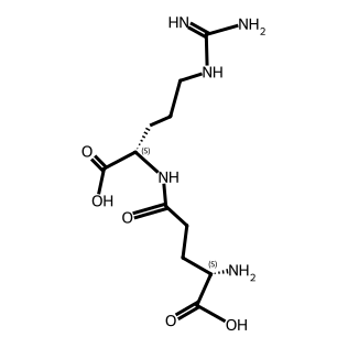 N=C(N)NCCC[C@H](NC(=O)CC[C@H](N)C(=O)O)C(=O)O